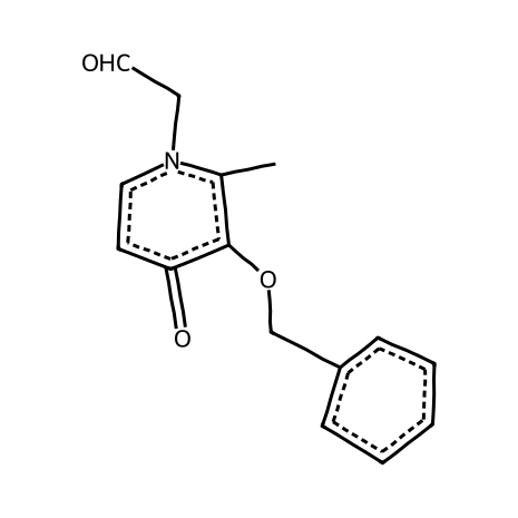 Cc1c(OCc2ccccc2)c(=O)ccn1CC=O